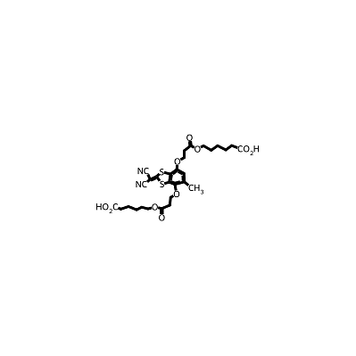 Cc1cc(OCCC(=O)OCCCCCC(=O)O)c2c(c1OCCC(=O)OCCCCCC(=O)O)SC(=C(C#N)C#N)S2